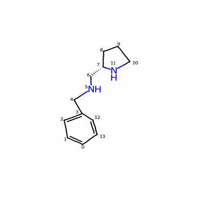 c1ccc(CNC[C@@H]2CCCN2)cc1